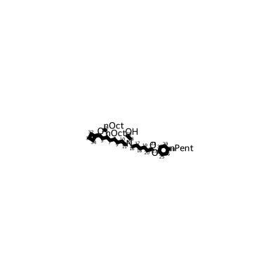 CCCCCCCCC(CCCCCCCC)OC(CCCCCCCN(CCO)CCCCCC(=O)OC1CCC(CCCCC)CC1)=C1CCC1